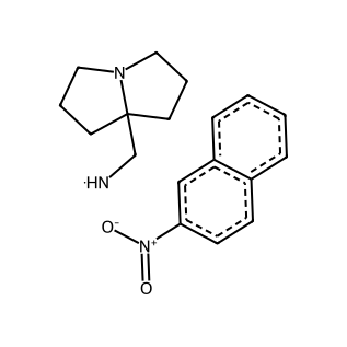 O=[N+]([O-])c1ccc2ccccc2c1.[NH]CC12CCCN1CCC2